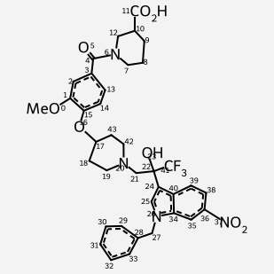 COc1cc(C(=O)N2CCCC(C(=O)O)C2)ccc1OC1CCN(CC(O)(c2cn(Cc3ccccc3)c3cc([N+](=O)[O-])ccc23)C(F)(F)F)CC1